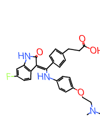 CN(C)CCOc1ccc(NC(=C2C(=O)Nc3cc(F)ccc32)c2ccc(CCC(=O)O)cc2)cc1